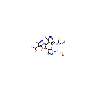 COCCn1cc(-c2sc3c(C(N)=O)cnn3c2-c2cc(NC(=O)CCl)cnc2C)cn1